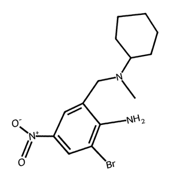 CN(Cc1cc([N+](=O)[O-])cc(Br)c1N)C1CCCCC1